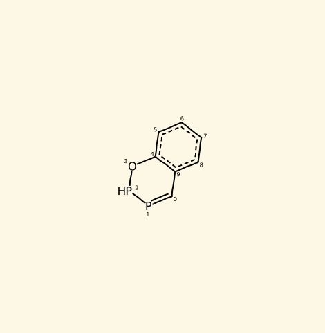 C1=PPOc2ccccc21